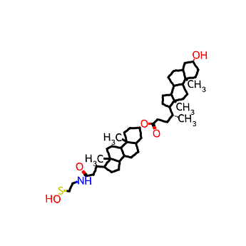 C[C@H](CCC(=O)O[C@@H]1CCC2(C)C(CCC3C4CCC(CCC(=O)NCCSO)C4(C)CCC32)C1)C1CCC2C3CCC4C[C@H](O)CCC4(C)C3CCC21C